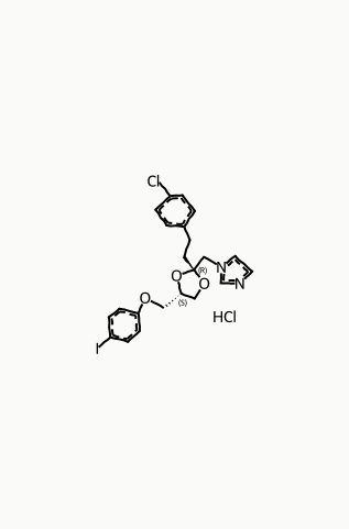 Cl.Clc1ccc(CC[C@@]2(Cn3ccnc3)OC[C@H](COc3ccc(I)cc3)O2)cc1